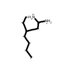 CCCCC(CC)CC(N)N